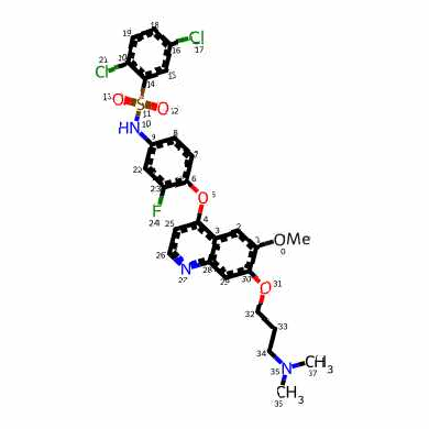 COc1cc2c(Oc3ccc(NS(=O)(=O)c4cc(Cl)ccc4Cl)cc3F)ccnc2cc1OCCCN(C)C